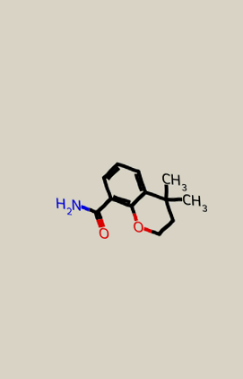 CC1(C)CCOc2c(C(N)=O)cccc21